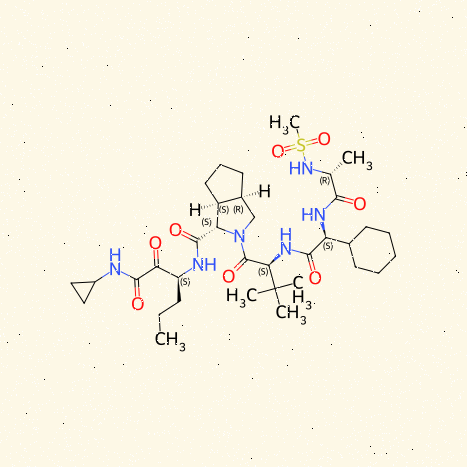 CCC[C@H](NC(=O)[C@@H]1[C@H]2CCC[C@H]2CN1C(=O)[C@@H](NC(=O)[C@@H](NC(=O)[C@@H](C)NS(C)(=O)=O)C1CCCCC1)C(C)(C)C)C(=O)C(=O)NC1CC1